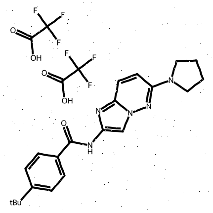 CC(C)(C)c1ccc(C(=O)Nc2cn3nc(N4CCCC4)ccc3n2)cc1.O=C(O)C(F)(F)F.O=C(O)C(F)(F)F